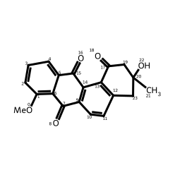 COc1cccc2c1C(=O)c1ccc3c(c1C2=O)C(=O)CC(C)(O)C3